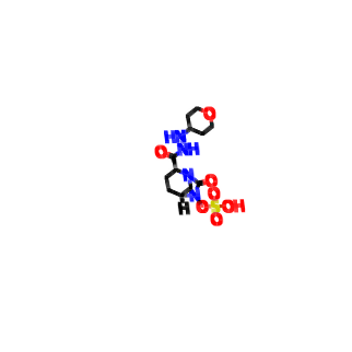 O=C(NNC1CCOCC1)[C@@H]1CC[C@@H]2CN1C(=O)N2OS(=O)(=O)O